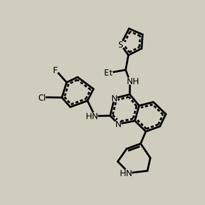 CCC(Nc1nc(Nc2ccc(F)c(Cl)c2)nc2c(C3=CCNCC3)cccc12)c1cccs1